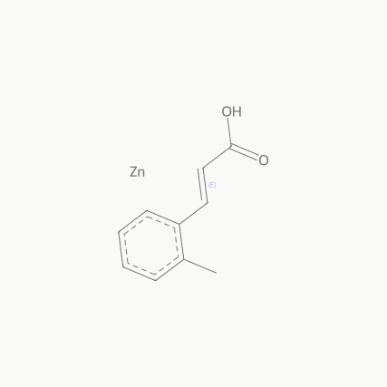 Cc1ccccc1/C=C/C(=O)O.[Zn]